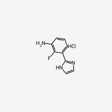 Cl.Nc1cccc(-c2ncc[nH]2)c1F